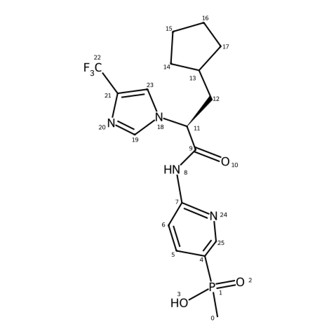 CP(=O)(O)c1ccc(NC(=O)[C@H](CC2CCCC2)n2cnc(C(F)(F)F)c2)nc1